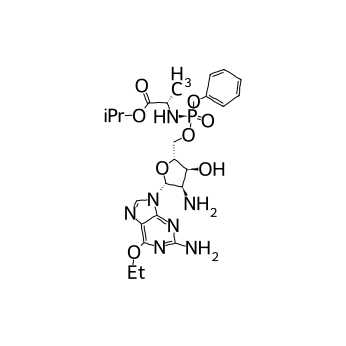 CCOc1nc(N)nc2c1ncn2[C@@H]1O[C@H](CO[P@](=O)(N[C@@H](C)C(=O)OC(C)C)Oc2ccccc2)[C@@H](O)[C@H]1N